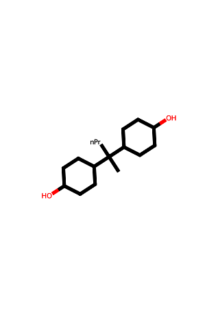 CCCC(C)(C1CCC(O)CC1)C1CCC(O)CC1